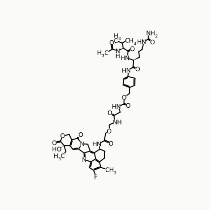 CC[C@@]1(O)C(=O)OCc2c1cc1n(c2=O)Cc2c-1nc1cc(F)c(C)c3c1c2[C@@H](NC(=O)COCNC(=O)CNC(=O)OCc1ccc(NC(=O)[C@H](CCCNC(N)=O)NC(=O)[C@@H](NC(C)=O)C(C)C)cc1)CC3